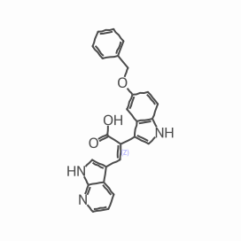 O=C(O)/C(=C\c1c[nH]c2ncccc12)c1c[nH]c2ccc(OCc3ccccc3)cc12